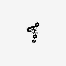 O=C(Nc1ccc(N2CCCC2)cc1)C(=O)c1c(-c2ccccc2)cc2ccccn12